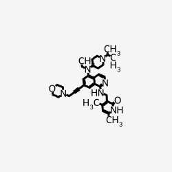 CCN(c1cc(C#CCN2CCOCC2)cc2c(NCc3c(C)cc(C)[nH]c3=O)nccc12)C1CCN(C(C)C)CC1